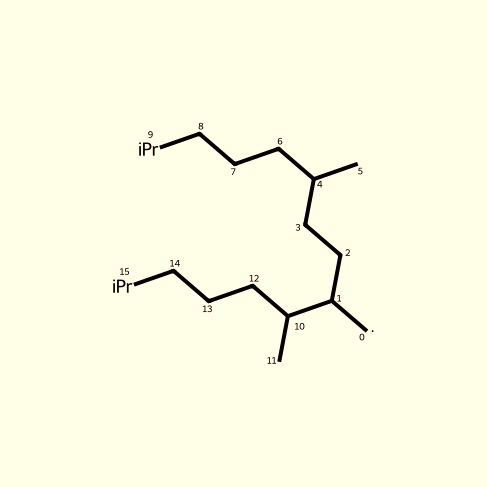 [CH2]C(CCC(C)CCCC(C)C)C(C)CCCC(C)C